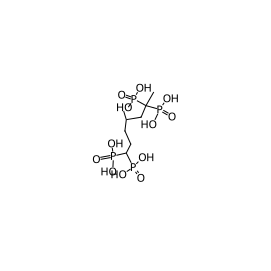 CC(CCC(P(=O)(O)O)P(=O)(O)O)CC(C)(P(=O)(O)O)P(=O)(O)O